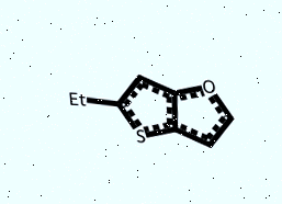 CCc1cc2occc2s1